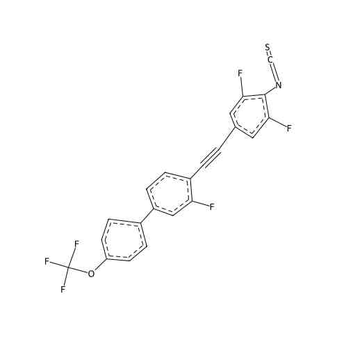 Fc1cc(-c2ccc(OC(F)(F)F)cc2)ccc1C#Cc1cc(F)c(N=C=S)c(F)c1